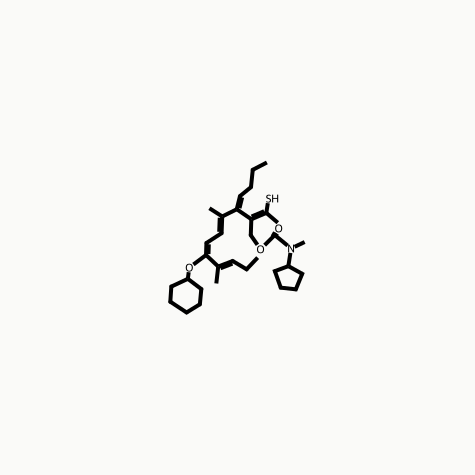 CC/C=C(C)/C(=C\C=C(C)\C(=C\CCC)C(\COC(=O)N(C)C1CCCC1)=C(\C)S)OC1CCCCC1